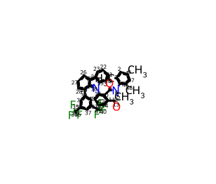 Cc1cc(C)c(N(C)C(=O)c2c(C=O)cccc2-n2c3ccccc3c3cccc(-c4cc(C(F)(F)F)cc(C(F)(F)F)c4)c32)c(C)c1